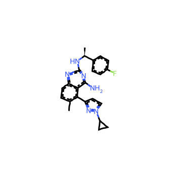 Cc1ccc2nc(N[C@@H](C)c3ccc(F)cc3)nc(N)c2c1-c1ccn(C2CC2)n1